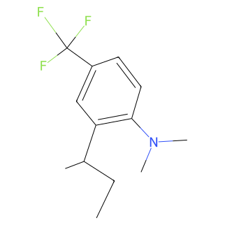 CCC(C)c1cc(C(F)(F)F)ccc1N(C)C